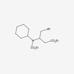 CCOC(=O)CC(CC(C)C)N(C(=O)OCC)C1CCCCC1